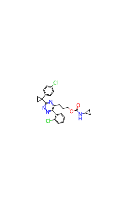 O=C(NC1CC1)OCCCc1nc(C2(c3ccc(Cl)cc3)CC2)nnc1-c1ccccc1Cl